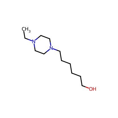 CCN1CCN(CCCCCCO)CC1